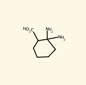 NC1(N)CCCCC1C(=O)O